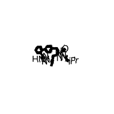 CC#CCc1nn(CCC(C)C)c(=O)n1Cc1ccc(-c2ccccc2-c2nnn[nH]2)cc1